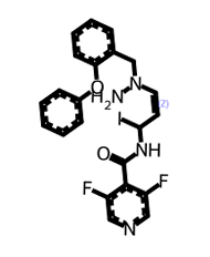 NN(/C=C\C(I)NC(=O)c1c(F)cncc1F)Cc1ccccc1Oc1ccccc1